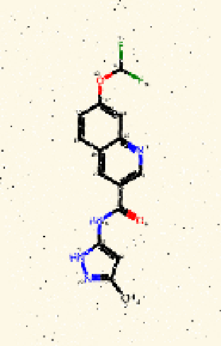 Cc1cc(NC(=O)c2cnc3cc(OC(F)F)ccc3c2)[nH]n1